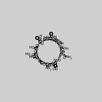 CCCC[C@H]1C(=O)N(C)[C@@H](CCCC)C(=O)N[C@@H](CCO)C(=O)N[C@H](C(=O)NCC(N)=O)CSCC(=O)N[C@@H](Cc2ccc(O)cc2)C(=O)N(C)[C@@H](C)C(=O)N[C@@H](CC(N)=O)C(=O)N2CCC[C@H]2C(=O)N[C@@H](Cc2c[nH]cn2)C(=O)N[C@@H](CCC(=O)O)C(=O)N2C[C@H](O)C[C@H]2C(=O)C[C@@H](Cc2c[nH]c3ccccc23)C(=O)N[C@@H](CO)C(=O)N[C@@H](Cc2c[nH]c3ccccc23)C(=O)N1C